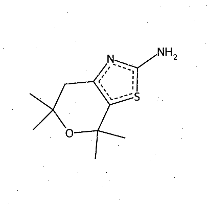 CC1(C)Cc2nc(N)sc2C(C)(C)O1